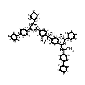 C/C(=N\C(=N/C(C)c1ccc(-c2ccccc2)cc1)c1ccc(C(C)(C)c2ccc(-c3nc(C4=CCCC=C4)nc(-c4ccc(-c5ccccc5)cc4)n3)cc2)cc1)c1ccccc1